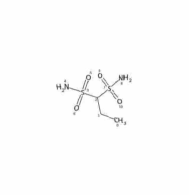 CCC(S(N)(=O)=O)S(N)(=O)=O